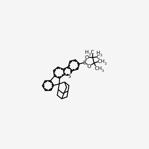 CC1(C)OB(c2ccc3c(c2)sc2c4c(ccc23)-c2ccccc2C42C3CC4CC(C3)CC2C4)OC1(C)C